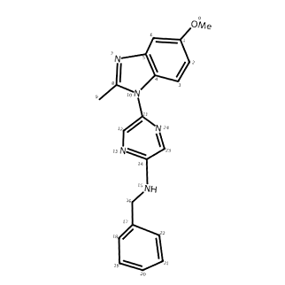 COc1ccc2c(c1)nc(C)n2-c1cnc(NCc2ccccc2)cn1